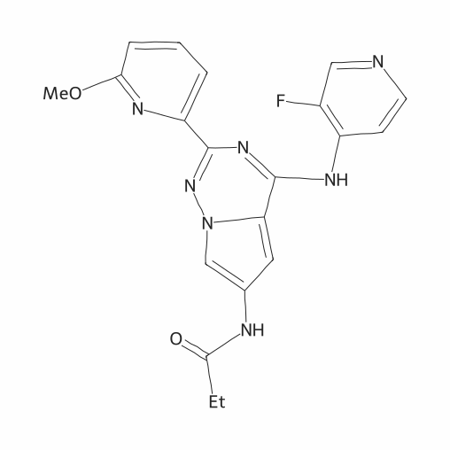 CCC(=O)Nc1cc2c(Nc3ccncc3F)nc(-c3cccc(OC)n3)nn2c1